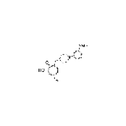 CSc1cccc(N2CCN(Cc3ccc(C(C)C)cc(O)c3=O)CC2)c1